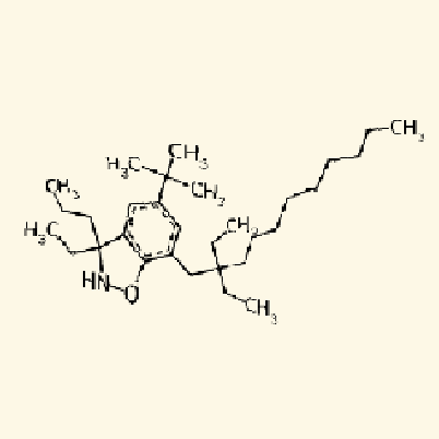 CCCCCCCCCC(CC)(CC)Cc1cc(C(C)(C)C)cc2c1ONC2(CC)CCC